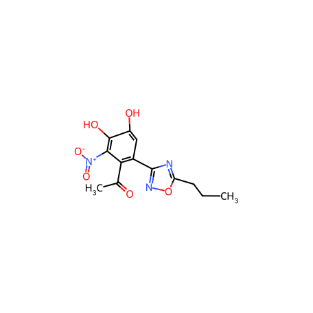 CCCc1nc(-c2cc(O)c(O)c([N+](=O)[O-])c2C(C)=O)no1